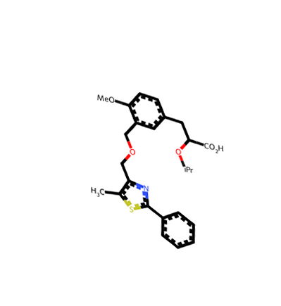 COc1ccc(CC(OC(C)C)C(=O)O)cc1COCc1nc(-c2ccccc2)sc1C